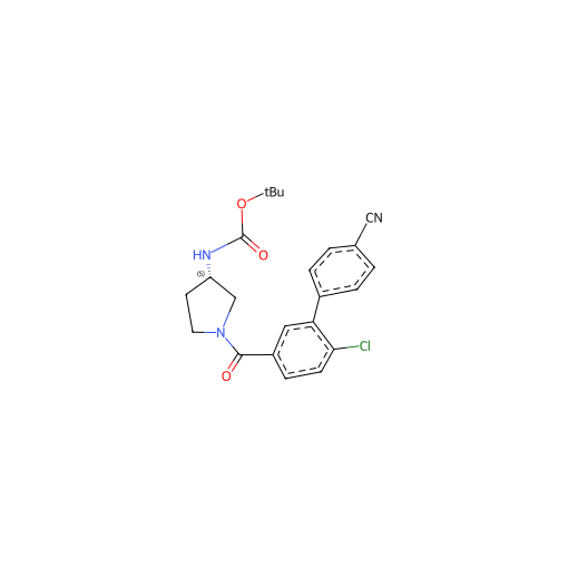 CC(C)(C)OC(=O)N[C@H]1CCN(C(=O)c2ccc(Cl)c(-c3ccc(C#N)cc3)c2)C1